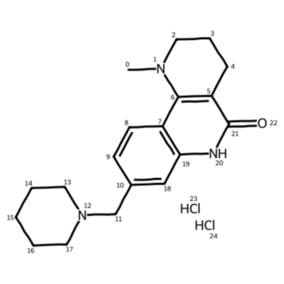 CN1CCCc2c1c1ccc(CN3CCCCC3)cc1[nH]c2=O.Cl.Cl